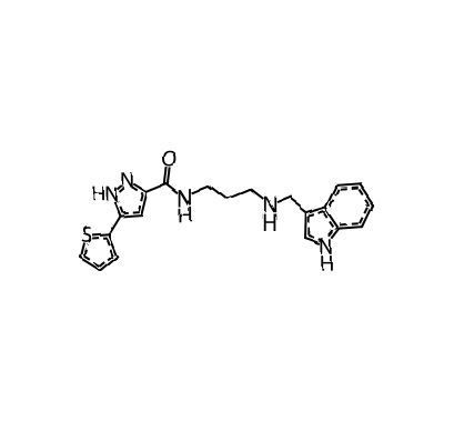 O=C(NCCCNCc1c[nH]c2ccccc12)c1cc(-c2cccs2)[nH]n1